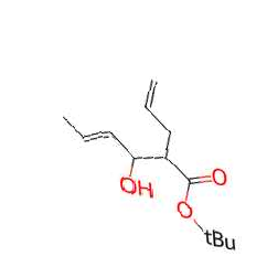 C=CCC(C(=O)OC(C)(C)C)C(O)C=CC